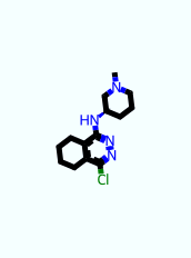 CN1CCC[C@@H](Nc2nnc(Cl)c3c2CCCC3)C1